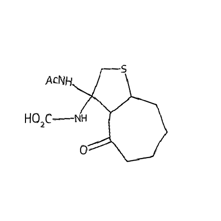 CC(=O)NC1(NC(=O)O)CSC2CCCCC(=O)C21